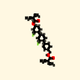 C=C(C)C(=O)OCc1ccc(-c2ccc(-c3ccc(OC(=O)C(=C)C)cc3F)cc2F)cc1